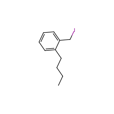 CCCCc1ccccc1CI